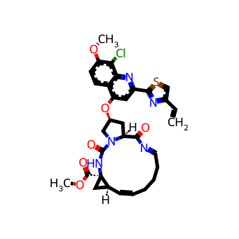 C=Cc1csc(-c2cc(O[C@H]3C[C@H]4C(=O)/N=C/CCC/C=C\[C@H]5C[C@@]5(C(=O)OC)NC(=O)N4C3)c3ccc(OC)c(Cl)c3n2)n1